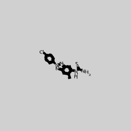 Cc1cc2nn(-c3ccc(Cl)cc3)nc2cc1NC(N)=S